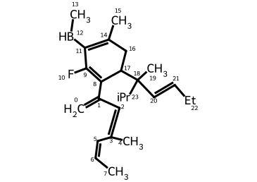 C=C(/C=C(C)\C=C/C)C1=C(F)C(BC)=C(C)CC1C(C)(C=CCC)C(C)C